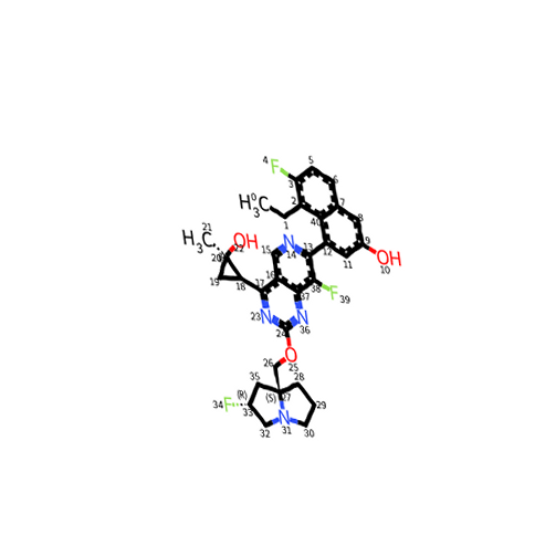 CCc1c(F)ccc2cc(O)cc(-c3ncc4c(C5C[C@@]5(C)O)nc(OC[C@@]56CCCN5C[C@H](F)C6)nc4c3F)c12